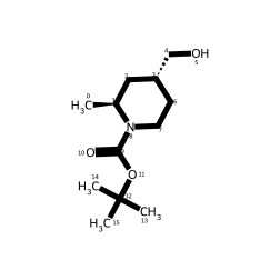 C[C@H]1C[C@H](CO)CCN1C(=O)OC(C)(C)C